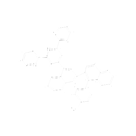 N#Cc1ccc(-c2c(-c3cc(-c4cc(-c5ccccn5)nc(-c5ccccn5)c4)c4ccccc4c3)ccc3ccccc23)cc1